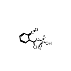 CC(OS(=O)(O)=S)C1C=CC=CC1=C=O